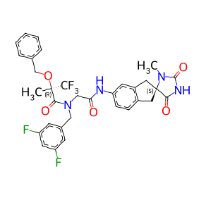 CN1C(=O)NC(=O)[C@@]12Cc1ccc(NC(=O)CN(Cc3cc(F)cc(F)c3)C(=O)[C@@](C)(OCc3ccccc3)C(F)(F)F)cc1C2